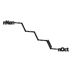 [CH2]CCCCCCCC=CCCCCCCCCCCCCC